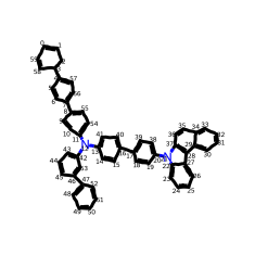 C1=CCC(c2ccc(-c3ccc(N(c4ccc(-c5ccc(-n6c7ccccc7c7c8ccccc8ccc76)cc5)cc4)c4cccc(-c5ccccc5)c4)cc3)cc2)C=C1